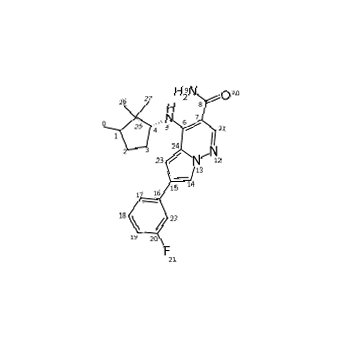 CC1CC[C@@H](Nc2c(C(N)=O)cnn3cc(-c4cccc(F)c4)cc23)C1(C)C